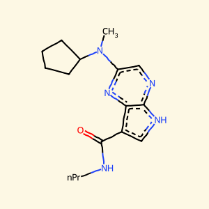 CCCNC(=O)c1c[nH]c2ncc(N(C)C3CCCC3)nc12